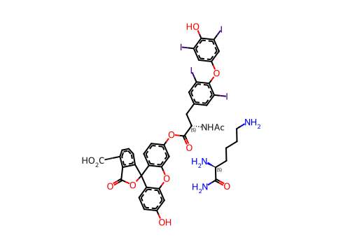 CC(=O)N[C@@H](Cc1cc(I)c(Oc2cc(I)c(O)c(I)c2)c(I)c1)C(=O)Oc1ccc2c(c1)Oc1cc(O)ccc1C21OC(=O)c2c(C(=O)O)cccc21.NCCCC[C@H](N)C(N)=O